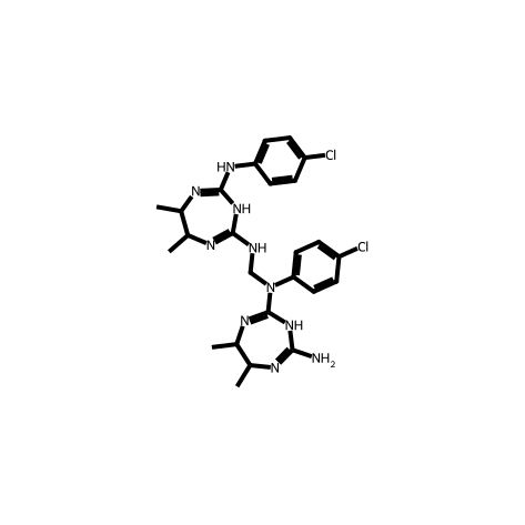 CC1N=C(N)NC(N(CNC2=NC(C)C(C)N=C(Nc3ccc(Cl)cc3)N2)c2ccc(Cl)cc2)=NC1C